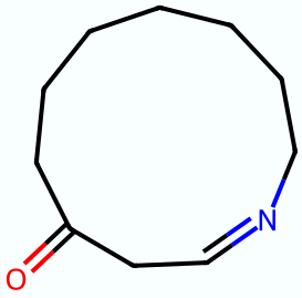 O=C1CC=NCCCCCCC1